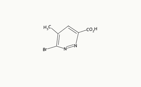 Cc1cc(C(=O)O)nnc1Br